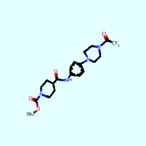 CC(C)(C)OC(=O)N1CCC(C(=O)Nc2ccc(N3CCN(C(=O)C(F)(F)F)CC3)cc2)CC1